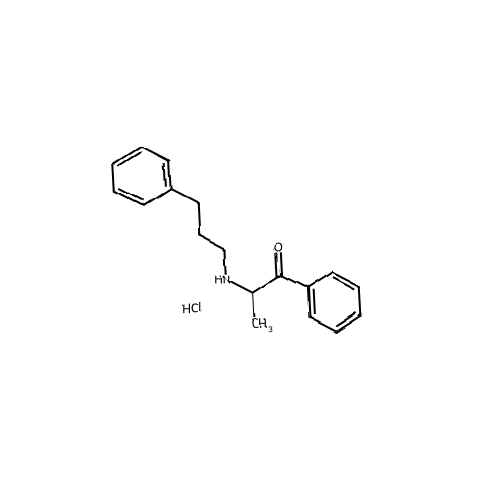 CC(NCCCc1ccccc1)C(=O)c1ccccc1.Cl